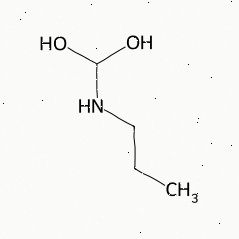 CCCNC(O)O